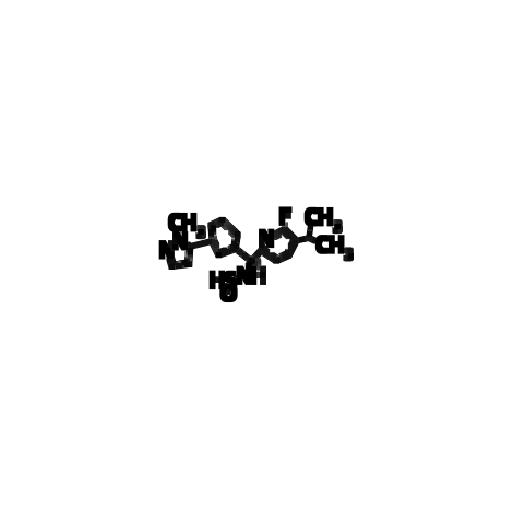 CC(C)c1ccc([C@@H](N[SH]=O)c2cccc(-c3ccnn3C)c2)nc1F